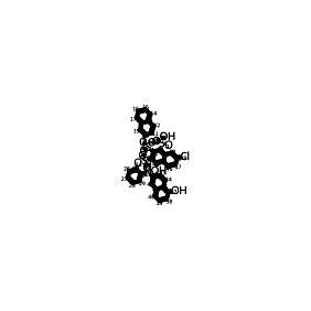 O=S(=O)(O)c1c(S(=O)(=O)Oc2ccc3ccccc3c2)c(S(=O)(=O)Oc2ccccc2Nc2ccc3c(O)cccc3c2)c(O)c2ccc(Cl)cc12